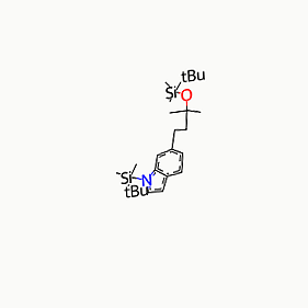 CC(C)(CCc1ccc2ccn([Si](C)(C)C(C)(C)C)c2c1)O[Si](C)(C)C(C)(C)C